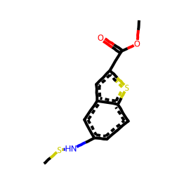 COC(=O)c1cc2cc(NSC)ccc2s1